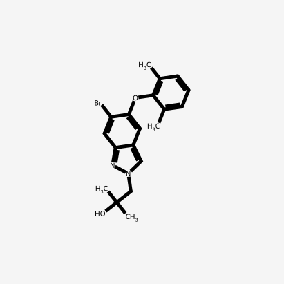 Cc1cccc(C)c1Oc1cc2cn(CC(C)(C)O)nc2cc1Br